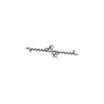 CC(=O)NC(/C=C/CCCCCCCCC(=O)O)CSSC[C@@H](/C=C/CCCCCCCCC(=O)O)NC(C)=O